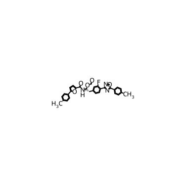 Cc1ccc(-c2ccc(C(=O)N[C@@H](Cc3ccc(-c4noc(-c5ccc(C)cc5)n4)c(F)c3)OC=O)o2)cc1